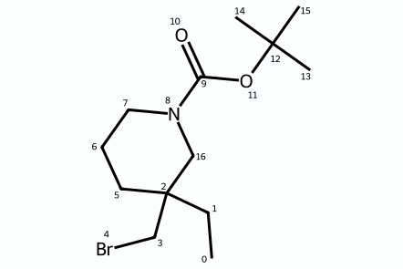 CCC1(CBr)CCCN(C(=O)OC(C)(C)C)C1